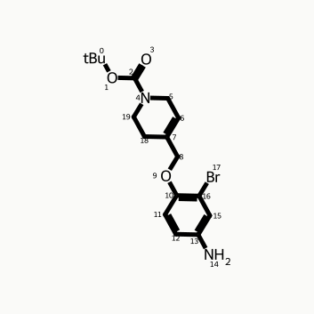 CC(C)(C)OC(=O)N1CC=C(COc2ccc(N)cc2Br)CC1